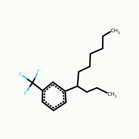 CCCCCCC(CCC)c1cccc(C(F)(F)F)c1